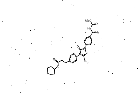 COC(=O)NC(=N)c1ccc(-n2nc(C)n(-c3ccc(CCC(=O)OC4CCCCC4)cc3)c2=O)cc1